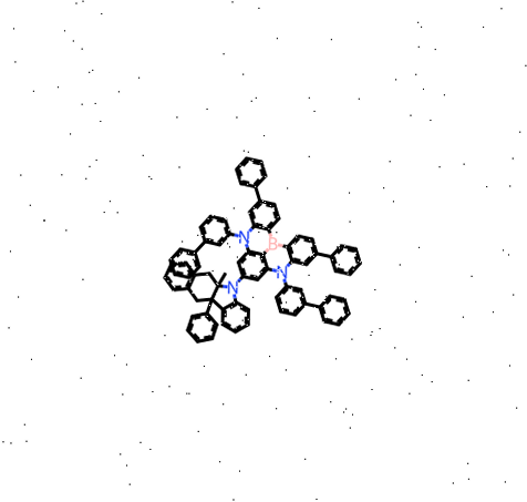 CC12Cc3ccccc3CC1(c1ccccc1)c1ccccc1N2c1cc2c3c(c1)N(c1cccc(-c4ccccc4)c1)c1cc(-c4ccccc4)ccc1B3c1ccc(-c3ccccc3)cc1N2c1cccc(-c2ccccc2)c1